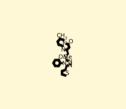 COc1ccccc1-n1c(SCc2cc(=O)n3cc(C)ccc3n2)nnc1-c1cccs1